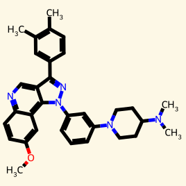 COc1ccc2ncc3c(-c4ccc(C)c(C)c4)nn(-c4cccc(N5CCC(N(C)C)CC5)c4)c3c2c1